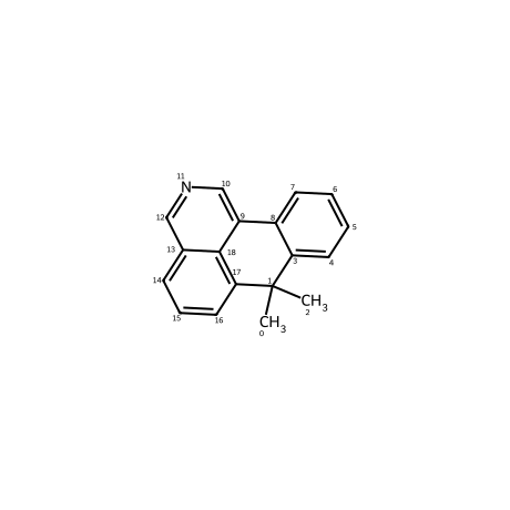 CC1(C)c2ccccc2-c2cncc3cccc1c23